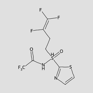 O=C(N[SH](=O)(CCC(F)=C(F)F)c1nccs1)C(F)(F)F